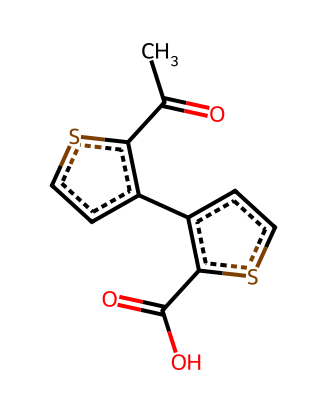 CC(=O)c1sccc1-c1ccsc1C(=O)O